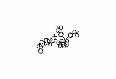 CC(=O)Oc1ccc(COP(=O)(OCc2ccc(OC(C)=O)cc2)OP(=O)(O)OC[C@H]2O[C@@H](n3ccc(=O)n(Cc4noc5ccccc45)c3=O)CC2(C)C)cc1